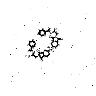 CC(CN1C(=O)C2CCC(S(=O)(=O)C3CCC4C(=O)N(CC(C)OC(=O)c5ccccc5)C(=O)C4C3)CC2C1=O)OC(=O)c1ccccc1